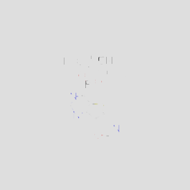 CC1(C)OB(c2ncnc3cc(CN4CCCC4=O)sc23)OC1(C)C